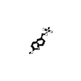 COc1ccc2cc(COS(C)(=O)=O)ccc2n1